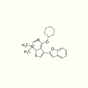 C[N+]1(C)C=NC(OC2CCCCC2)=C2C(c3cc4ccccc4o3)=CSC21